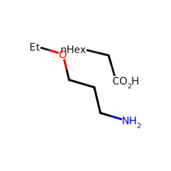 CCCCCCCC(=O)O.CCOCCCN